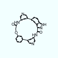 O=C1COc2cccc(c2)-c2cncc(c2)NC(=O)c2n[nH]c3ccc(cc23)-c2cncc(c2)N1